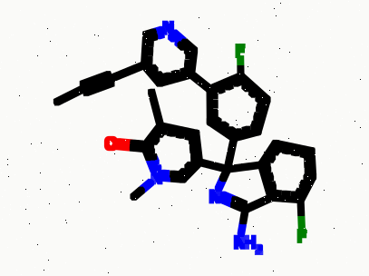 CC#Cc1cncc(-c2cc(C3(c4cc(C)c(=O)n(C)c4)N=C(N)c4c(F)cccc43)ccc2F)c1